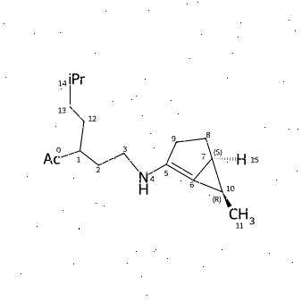 CC(=O)C(CCNC1=C2[C@@H](CC1)[C@H]2C)CCC(C)C